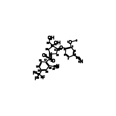 COc1cc(C#N)ccc1O[C@H]1CN(S(=O)(=O)c2ccc(C(F)(F)F)cc2C#N)C[C@@]1(O)CO